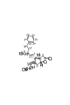 CC(C)(C)[C@@H](/C=C/[C@@H]1[C@H]2CC(=O)O[C@H]2C[C@H]1PPB=O)CCc1ccccc1